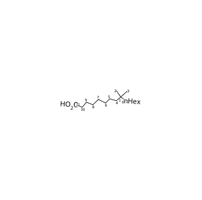 CCCCCCC(C)(C)CCCCCCCC(=O)O